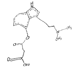 CN(C)CCc1c[nH]c2cccc(OC(=O)CC(=O)O)c12